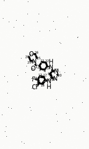 O=C([C@H]1CC[C@H](Nc2cc(Nc3ccc(F)c(Cl)c3)ncn2)CC1)N1CCOCC1